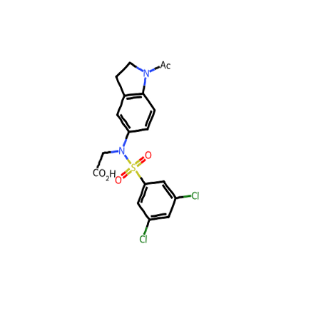 CC(=O)N1CCc2cc(N(CC(=O)O)S(=O)(=O)c3cc(Cl)cc(Cl)c3)ccc21